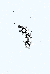 CN1C2CCC1CC(n1cc(-c3ccc(Br)cc3)nn1)C2